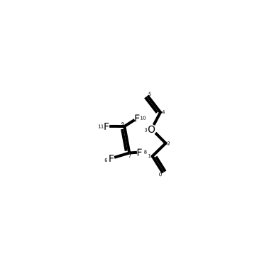 C=CCOC=C.FC(F)=C(F)F